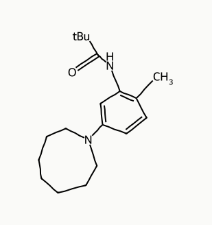 Cc1ccc(N2CCCCCCC2)cc1NC(=O)C(C)(C)C